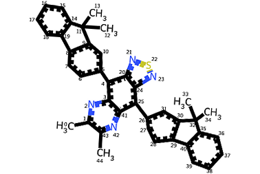 Cc1nc2c(-c3ccc4c(c3)C(C)(C)c3ccccc3-4)c3nsnc3c(-c3ccc4c(c3)C(C)(C)c3ccccc3-4)c2nc1C